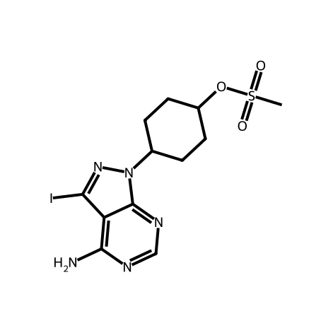 CS(=O)(=O)OC1CCC(n2nc(I)c3c(N)ncnc32)CC1